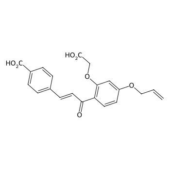 C=CCOc1ccc(C(=O)/C=C/c2ccc(C(=O)O)cc2)c(OCC(=O)O)c1